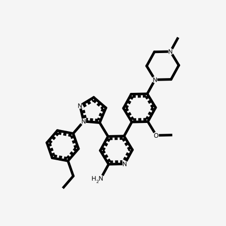 CCc1cccc(-n2nccc2-c2cc(N)ncc2-c2ccc(N3CCN(C)CC3)cc2OC)c1